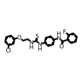 O=C(Nc1ccc(NC(=S)NCCOc2cccc(Cl)c2)cc1)c1ccccc1F